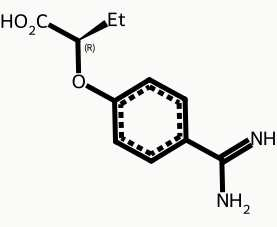 CC[C@@H](Oc1ccc(C(=N)N)cc1)C(=O)O